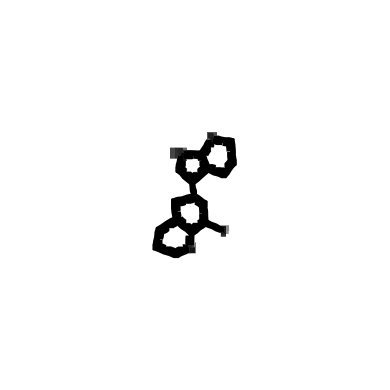 Fc1cc(-c2c[nH]c3ncccc23)cc2cccnc12